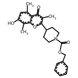 Cc1c(C2CCN(C(=O)OCc3ccccc3)CC2)oc2c(C)c(O)cc(C)c2c1=O